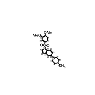 COc1ccc(S(=O)(=O)n2ccc3cc(N4CCN(C)CC4)ccc32)cc1OC